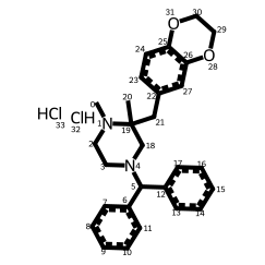 CN1CCN(C(c2ccccc2)c2ccccc2)CC1(C)Cc1ccc2c(c1)OCCO2.Cl.Cl